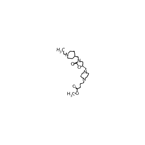 CCN1CCC(CN2CC(CN3CCN(CCCC(=O)OC)CC3)OC2=O)CC1